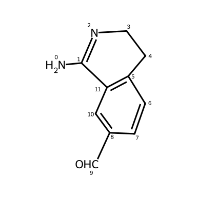 NC1=NCCc2ccc(C=O)cc21